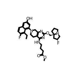 CCc1c(F)ccc2cc(O)cc(N3CCc4c(nc(OC[C@@]56CCCN5C[C@H](F)C6)nc4NCCCC(=O)OC)C3)c12